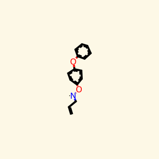 C=CC[N]Oc1ccc(Oc2ccccc2)cc1